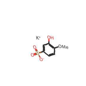 COc1ccc(S(=O)(=O)[O-])cc1O.[K+]